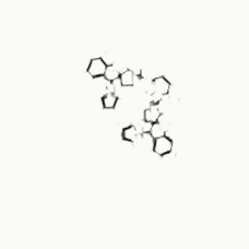 O=C(/C=C\C(=O)ON1CCC2(C1)Oc1ccccc1C2n1cccc1)ON1CCC2(C1)Oc1ccccc1C2n1cccc1